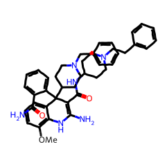 COc1cccc2c1NC(N)=C(C(=O)NC1CCN(CCc3ccccc3)CC1)C2(c1ccccc1C(N)=O)C1CCN(Cc2ccccc2)CC1